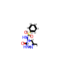 CC1=NNC(=O)N(NS(=O)(=O)c2ccccc2)C1